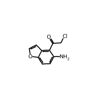 Nc1ccc2occc2c1C(=O)CCl